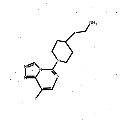 NCCC1CCN(c2ncc(I)c3nncn23)CC1